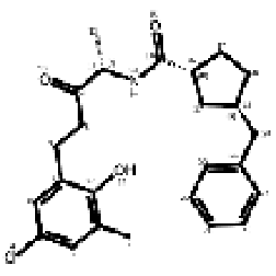 Cc1cc(Cl)cc(CCC(=O)[C@H](C)NC(=O)[C@@H]2CC[C@@H](Cc3ccccc3)C2)c1O